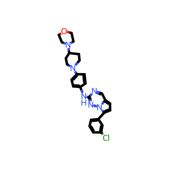 Clc1cccc(-c2ccc3cnc(Nc4ccc(N5CCC(N6CCOCC6)CC5)cc4)nn23)c1